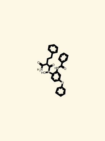 NC(=O)C(CCc1ccccc1)C(=O)N(O)c1ccc(Oc2ccccc2)cc1NC(=O)c1ccccc1